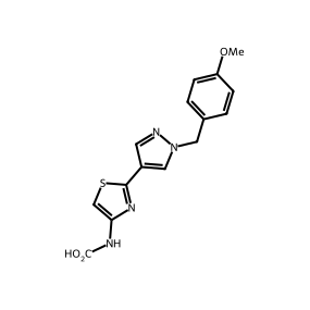 COc1ccc(Cn2cc(-c3nc(NC(=O)O)cs3)cn2)cc1